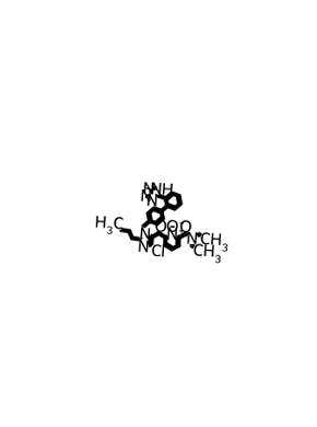 CCCCc1nc(Cl)c(C(=O)c2cccc(C(=O)N(CC)CC)[n+]2[O-])n1Cc1ccc(-c2ccccc2-c2nnn[nH]2)cc1